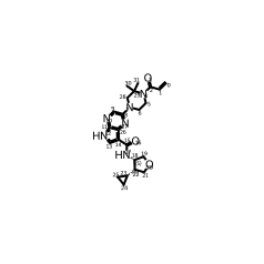 C=CC(=O)N1CCN(c2cnc3[nH]cc(C(=O)N[C@@H]4COC[C@@H]4C4CC4)c3n2)CC1(C)C